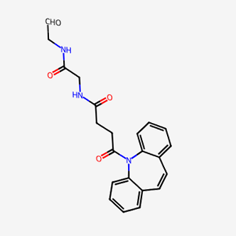 O=CCNC(=O)CNC(=O)CCC(=O)N1c2ccccc2C=Cc2ccccc21